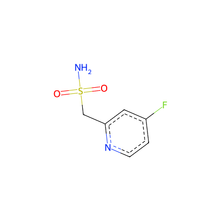 NS(=O)(=O)Cc1cc(F)ccn1